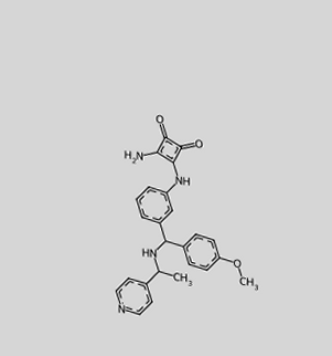 COc1ccc(C(NC(C)c2ccncc2)c2cccc(Nc3c(N)c(=O)c3=O)c2)cc1